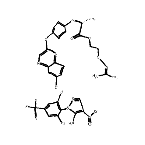 CC(C)=NOCCOC(=O)[C@@H](C)Oc1ccc(Oc2cnc3cc(Cl)ccc3n2)cc1.Nc1c([N+](=O)[O-])cnn1-c1c(Cl)cc(C(F)(F)F)cc1Cl